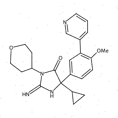 COc1ccc(C2(C3CC3)NC(=N)N(C3CCOCC3)C2=O)cc1-c1cccnc1